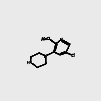 COc1ncc(Cl)cc1N1CCNCC1